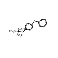 CCOC(=O)C(Cc1ccc(Oc2ccccc2)cc1)(C(=O)OCC)C(=O)OCC